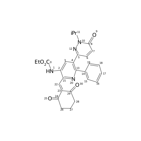 CCOC(=O)Nc1cc(-c2ccc(=O)n(C(C)C)n2)c(-c2ccccc2)nc1C=C1C(=O)CCCC1=O